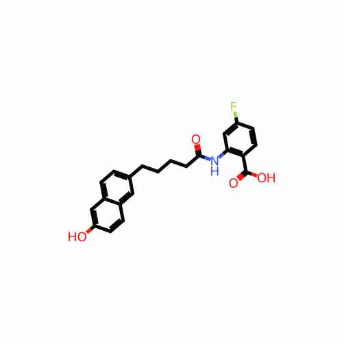 O=C(CCCCc1ccc2cc(O)ccc2c1)Nc1cc(F)ccc1C(=O)O